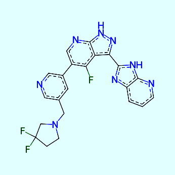 Fc1c(-c2cncc(CN3CCC(F)(F)C3)c2)cnc2[nH]nc(-c3nc4cccnc4[nH]3)c12